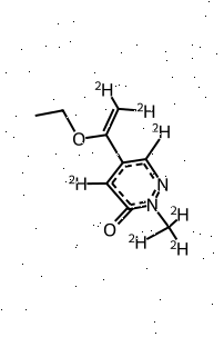 [2H]C([2H])=C(OCC)c1c([2H])nn(C([2H])([2H])[2H])c(=O)c1[2H]